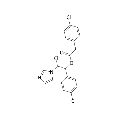 O=C(Cc1ccc(Cl)cc1)OC(c1ccc(Cl)cc1)C(Cl)n1ccnc1